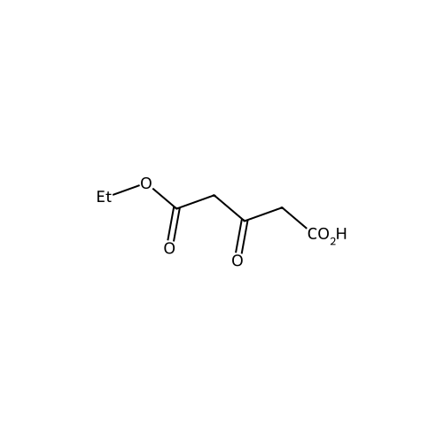 CCOC(=O)CC(=O)CC(=O)O